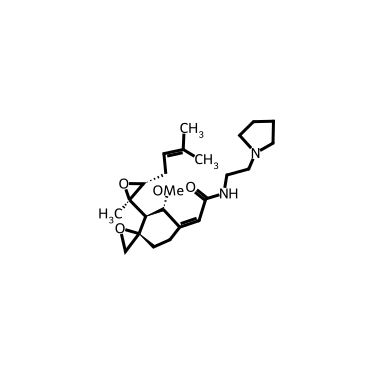 CO[C@@H]1/C(=C\C(=O)NCCN2CCCC2)CC[C@]2(CO2)[C@H]1[C@@]1(C)O[C@@H]1CC=C(C)C